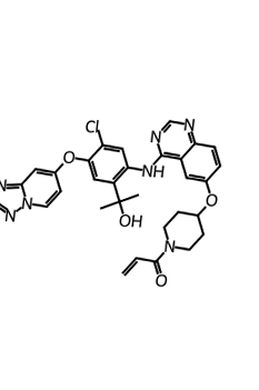 C=CC(=O)N1CCC(Oc2ccc3ncnc(Nc4cc(Cl)c(Oc5ccn6ncnc6c5)cc4C(C)(C)O)c3c2)CC1